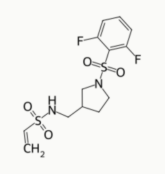 C=CS(=O)(=O)NCC1CCN(S(=O)(=O)c2c(F)cccc2F)C1